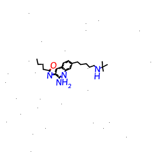 CCCCc1nc2c(N)nc3cc(CCCCCNC(C)(C)C)ccc3c2o1